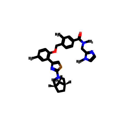 Cc1ccc(OCc2ccc(C(=O)N(C)Cc3nccn3C)cc2C)c(-c2csc(N3C[C@H]4CC[C@@H](C3)[C@H]4C(=O)O)n2)c1